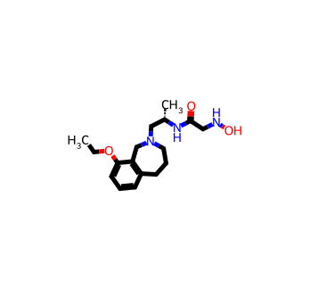 CCOc1cccc2c1CN(C[C@H](C)NC(=O)CNO)CCC2